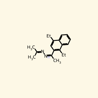 CCc1cc(/C(C)=N\N=C(C)C)c(CC)c2ccccc12